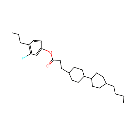 CCCCC1CCC(C2CCC(CCC(=O)Oc3ccc(CCC)c(F)c3)CC2)CC1